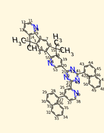 CC1(C)c2cc3c(cc2-c2ncccc21)C(C)(C)c1cc(-c2nc(-c4cc(-c5cccc6ccccc56)ccn4)nc(-c4cccc5ccccc45)n2)cnc1-3